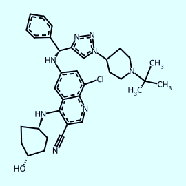 CC(C)(C)N1CCC(n2cc([C@@H](Nc3cc(Cl)c4ncc(C#N)c(N[C@H]5CC[C@H](O)CC5)c4c3)c3ccccc3)nn2)CC1